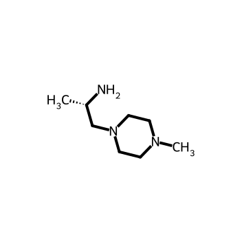 C[C@H](N)CN1CCN(C)CC1